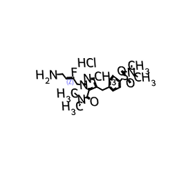 Cc1nn(C/C(F)=C/CN)c(C(=O)N(C)C)c1Cc1ccc(S(=O)(=O)N(C)C)cc1.Cl